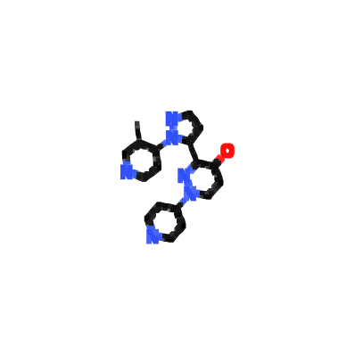 Cc1cnccc1-n1nccc1-c1nn(-c2ccncc2)ccc1=O